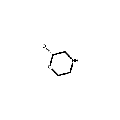 [O][C@@H]1CNCCO1